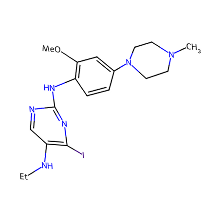 CCNc1cnc(Nc2ccc(N3CCN(C)CC3)cc2OC)nc1I